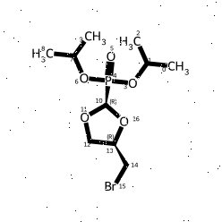 CC(C)OP(=O)(OC(C)C)[C@@H]1OC[C@H](CBr)O1